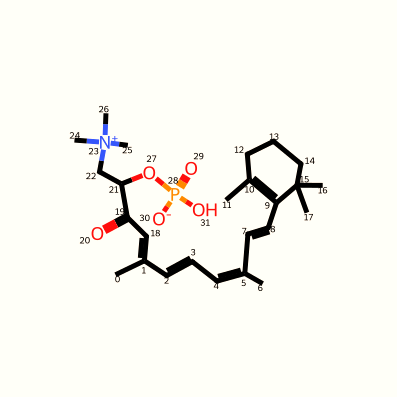 CC(C=C/C=C(/C)C=CC1=C(C)CCCC1(C)C)=CC(=O)C(C[N+](C)(C)C)OP(=O)([O-])O